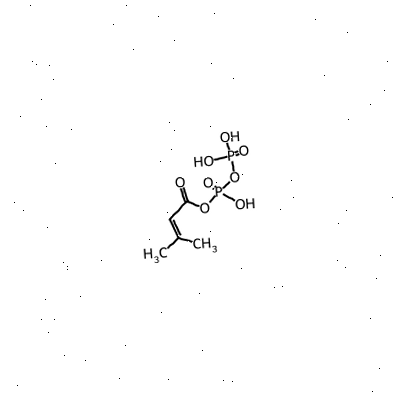 CC(C)=CC(=O)OP(=O)(O)OP(=O)(O)O